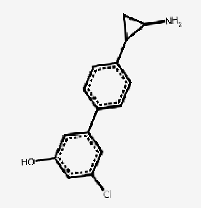 NC1CC1c1ccc(-c2cc(O)cc(Cl)c2)cc1